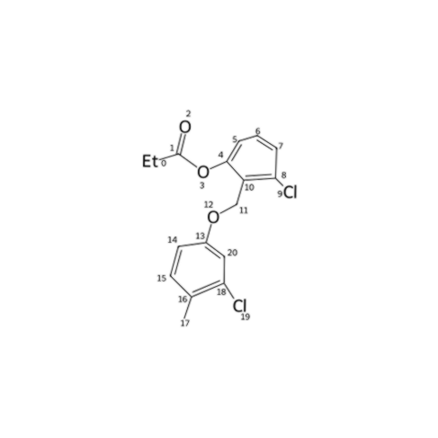 CCC(=O)Oc1cccc(Cl)c1COc1ccc(C)c(Cl)c1